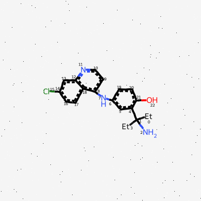 CCC(N)(CC)c1cc(Nc2ccnc3cc(Cl)ccc23)ccc1O